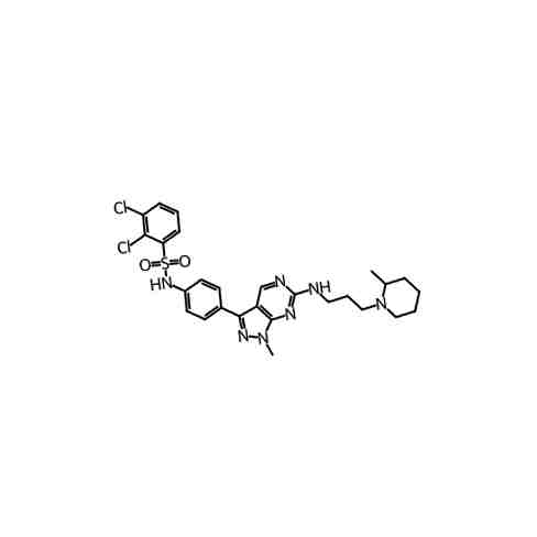 CC1CCCCN1CCCNc1ncc2c(-c3ccc(NS(=O)(=O)c4cccc(Cl)c4Cl)cc3)nn(C)c2n1